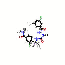 CCN(CC)C(=O)c1ccc(C(C)(I)NC(=O)N(CC)NC(=O)c2cc(F)cc(C(F)(F)F)c2)c(F)c1